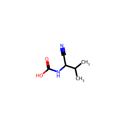 CC(C)C(C#N)NC(=O)O